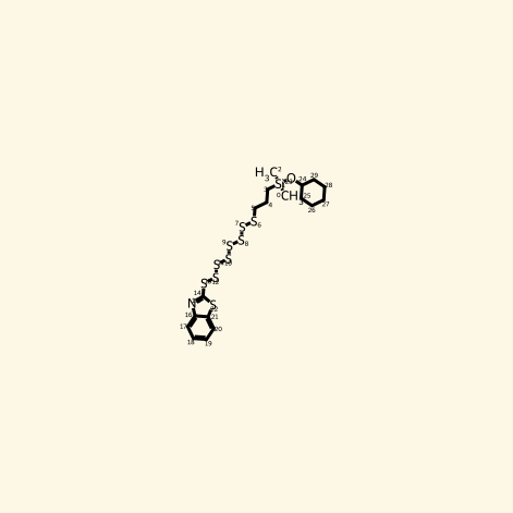 C[Si](C)(CCCSSSSSSSSc1nc2ccccc2s1)OC1CCCCC1